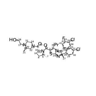 CC(C)C1=C(C(=O)N2[C@H](C)CC[C@@H]2C(=O)N2CCN(CCO)[C@H](C)C2)SC2=N[C@@](C)(c3ccc(Cl)cc3)[C@@H](c3ccc(Cl)c(F)c3)N21